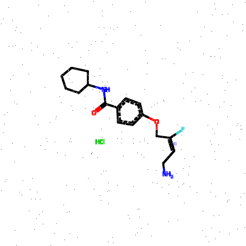 Cl.NC/C=C(/F)COc1ccc(C(=O)NC2CCCCC2)cc1